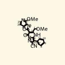 COCc1[nH]c2c(-c3ccccc3)c(C#N)nn2c(=O)c1-c1nc2c(OC)nccc2o1